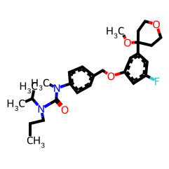 CCCN(C(=O)N(C)c1ccc(COc2cc(F)cc(C3(OC)CCOCC3)c2)cc1)C(C)C